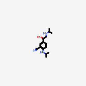 CC(C)NCC(O)c1ccc(NC(C)C)c(C#N)c1